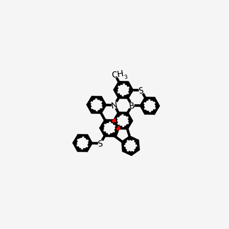 Cc1cc2c3c(c1)N(c1ccccc1-c1cccc(Sc4ccccc4)c1)c1cc4c(cc1B3c1ccccc1S2)-c1ccccc1C4